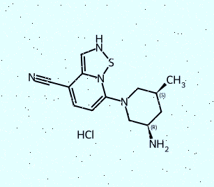 C[C@H]1C[C@@H](N)CN(C2=CC=C(C#N)C3=CNSN32)C1.Cl